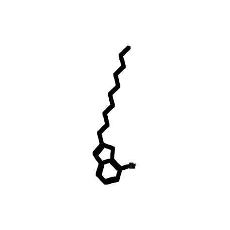 CCCCCCCCCCC1=Cc2cccc(Br)c2C1